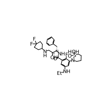 CCNc1cc(C(=O)N[C@@H](Cc2ccccc2)[C@@H](O)CNC2CCC(F)(F)CC2)c(F)c(N2CCCCS2(O)O)c1